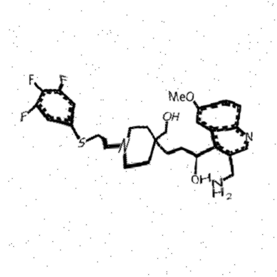 COc1ccc2ncc(CN)c([C@@H](O)CCC3(CO)CCN(CCSc4cc(F)c(F)c(F)c4)CC3)c2c1